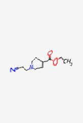 CCOC(=O)C1CCN(CCC#N)CC1